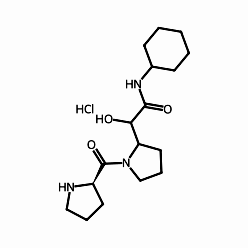 Cl.O=C(NC1CCCCC1)C(O)C1CCCN1C(=O)[C@H]1CCCN1